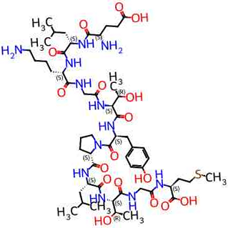 CSCC[C@H](NC(=O)CNC(=O)[C@@H](NC(=O)[C@H](CC(C)C)NC(=O)[C@@H]1CCCN1C(=O)[C@H](Cc1ccc(O)cc1)NC(=O)[C@@H](NC(=O)CNC(=O)[C@H](CCCCN)NC(=O)[C@H](CC(C)C)NC(=O)[C@@H](N)CCC(=O)O)[C@@H](C)O)[C@@H](C)O)C(=O)O